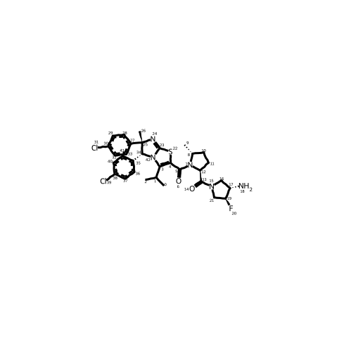 CC(C)C1=C(C(=O)N2[C@H](C)CC[C@H]2C(=O)N2C[C@H](N)[C@@H](F)C2)SC2=N[C@@](C)(c3ccc(Cl)cc3)[C@@H](c3ccc(Cl)cc3)N21